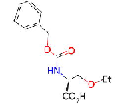 CCOC[C@H](NC(=O)OCc1ccccc1)C(=O)O